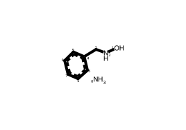 N.ONCc1ccccc1